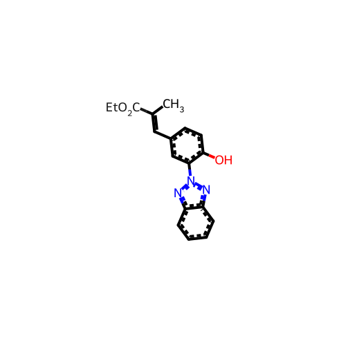 CCOC(=O)C(C)=Cc1ccc(O)c(-n2nc3ccccc3n2)c1